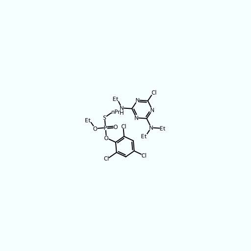 CCCSP(=O)(OCC)Oc1c(Cl)cc(Cl)cc1Cl.CCNc1nc(Cl)nc(N(CC)CC)n1